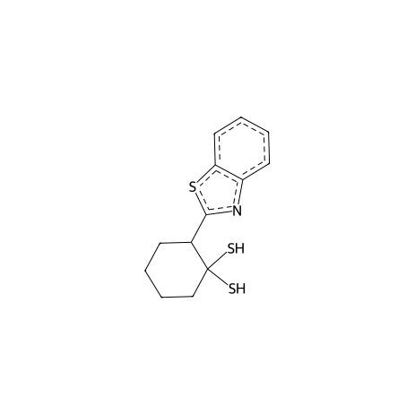 SC1(S)CCCCC1c1nc2ccccc2s1